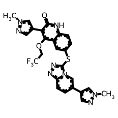 Cn1cc(-c2ccc3nnc(Sc4ccc5[nH]c(=O)c(-c6cnn(C)c6)c(OCC(F)(F)F)c5c4)n3c2)cn1